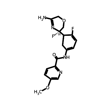 COc1ccc(C(=O)NC2=CC=C(F)C([C@]3(F)COCC(N)=N3)C2)nc1